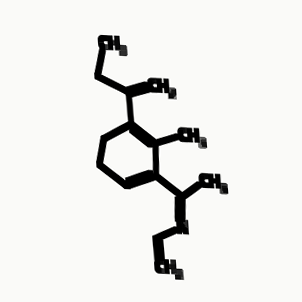 C=C/N=C(/C)C1=CCCC(C(=C)CC)=C1C